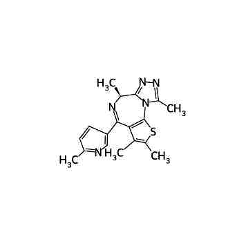 Cc1ccc(C2=N[C@@H](C)c3nnc(C)n3-c3sc(C)c(C)c32)cn1